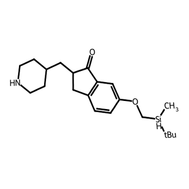 C[SiH](COc1ccc2c(c1)C(=O)C(CC1CCNCC1)C2)C(C)(C)C